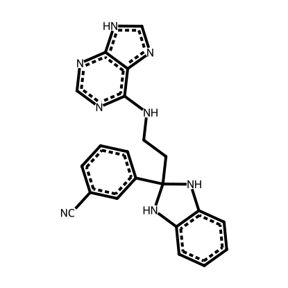 N#Cc1cccc(C2(CCNc3ncnc4[nH]cnc34)Nc3ccccc3N2)c1